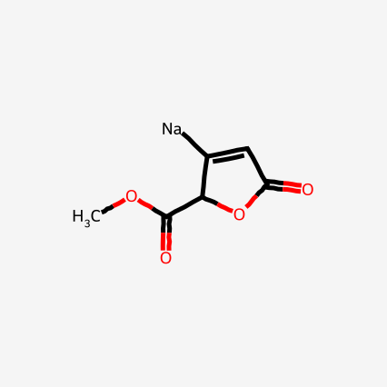 COC(=O)C1OC(=O)C=[C]1[Na]